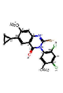 COc1cc(-n2c(S)nc3cc(OC)c(C4CC4)cc3c2=O)c(Cl)cc1Cl